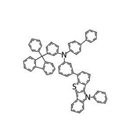 c1ccc(-c2ccc(N(c3cccc(-c4cccc5c4sc4c6ccccc6n(-c6ccccc6)c54)c3)c3cccc(C4(c5ccccc5)c5ccccc5-c5ccccc54)c3)cc2)cc1